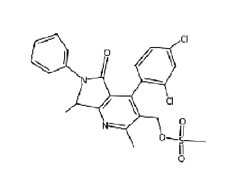 Cc1nc2c(c(-c3ccc(Cl)cc3Cl)c1COS(C)(=O)=O)C(=O)N(c1ccccc1)C2C